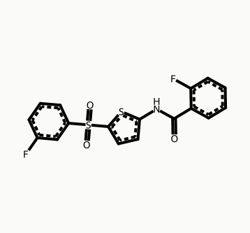 O=C(Nc1ccc(S(=O)(=O)c2cccc(F)c2)s1)c1ccccc1F